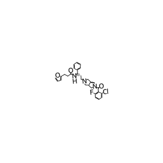 O=C(CCc1ccco1)N[C@@H](CCN1CC2=CN(C(=O)c3c(F)cccc3Cl)CC2C1)c1ccccc1